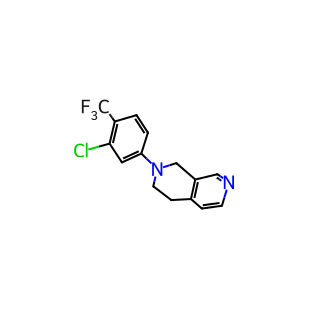 FC(F)(F)c1ccc(N2CCc3ccncc3C2)cc1Cl